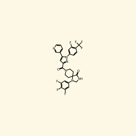 O=C(c1cc(-c2cccnc2)n(-c2ccc(C(F)(F)F)c(F)c2)n1)N1CCC2(CC1)C(=O)NCN2c1cc(F)c(F)c(F)c1